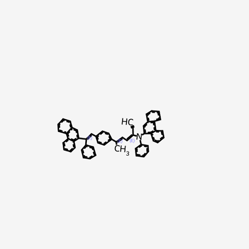 C#C/C(=C\C=C(/C)c1ccc(/C=C(\c2ccccc2)c2cc3ccccc3c3ccccc23)cc1)N(c1ccccc1)c1cc2ccccc2c2ccccc12